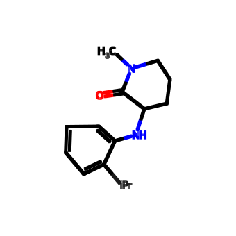 CC(C)c1ccccc1NC1CCCN(C)C1=O